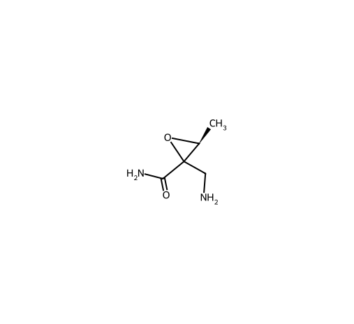 C[C@@H]1OC1(CN)C(N)=O